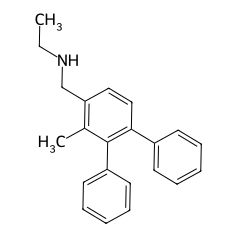 CCNCc1ccc(-c2ccccc2)c(-c2ccccc2)c1C